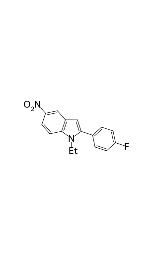 CCn1c(-c2ccc(F)cc2)cc2cc([N+](=O)[O-])ccc21